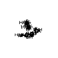 CC1(C)CC(Oc2ccc(-c3ncc(-c4cn[nH]c4)cc3O)nn2)CC(C)(C)N1.O=C(O)C(F)(F)F.O=C(O)C(F)(F)F